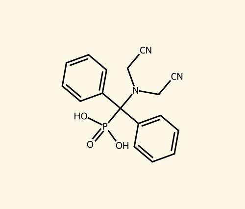 N#CCN(CC#N)C(c1ccccc1)(c1ccccc1)P(=O)(O)O